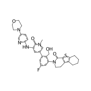 Cn1cc(-c2cc(F)cc(N3CCc4c(sc5c4CCCC5)C3=O)c2CO)cc(Nc2ccc(N3CCOCC3)cn2)c1=O